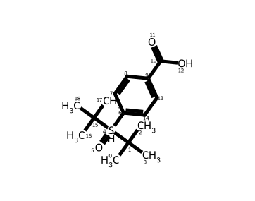 CC(C)(C)[SH](=O)(c1ccc(C(=O)O)cc1)C(C)(C)C